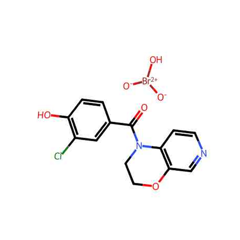 O=C(c1ccc(O)c(Cl)c1)N1CCOc2cnccc21.[O-][Br+2]([O-])O